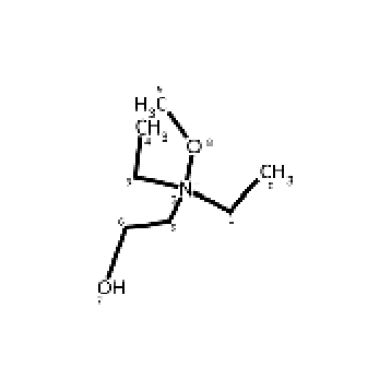 CC[N+](CC)(CCO)OC